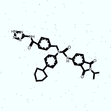 CC(C)N1C(=O)c2ccc(NC(=O)N(Cc3ccc(C(=O)Nc4nn[nH]n4)cc3)c3ccc(C4CCCCC4)cc3)cc2C1=O